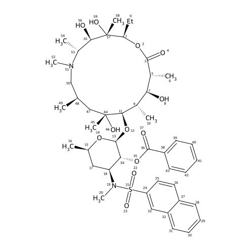 CC[C@H]1OC(=O)[C@H](C)[C@@H](O)[C@H](C)[C@@H](O[C@@H]2O[C@H](C)C[C@H](N(C)S(=O)(=O)c3ccc4ccccc4c3)[C@H]2OC(=O)c2ccccc2)[C@](C)(O)C[C@@H](C)CN(C)[C@H](C)[C@@H](O)[C@]1(C)O